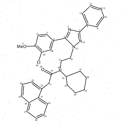 COc1ccc(-c2nc(-c3ccncc3)nn2CCN(C(=O)Cc2cccc3ccccc23)C2CCCCC2)cc1Cl